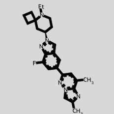 CCN1CC[C@@H](n2cc3cc(-c4cc(C)c5nc(C)cn5n4)cc(F)c3n2)CC12CCC2